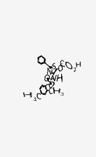 Cc1ccc(S(=O)(=O)Nc2nc(-c3ccccc3)sc2OC(=O)O)c(C)c1